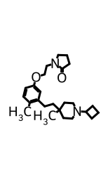 Cc1ccc(OCCN2CCCC2=O)cc1CCC1(C)CCN(C2CCC2)CC1